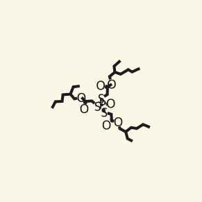 CCCCC(CC)COC(=O)CSP(=O)(SCC(=O)OCC(CC)CCCC)SCC(=O)OCC(CC)CCCC